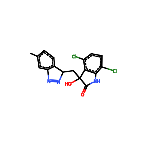 Cc1ccc2c(c1)N=NC2CC1(O)C(=O)Nc2c(Cl)ccc(Cl)c21